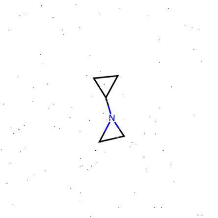 C1C[C]1N1CC1